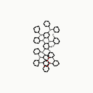 Fc1cccc(F)c1N1c2cc(N(c3ccccc3)c3ccccc3)cc3c2B(c2ccccc2N3c2ccccc2)c2cc3c(c(F)c21)Sc1cc(N(c2ccccc2)c2ccccc2-c2ccccc2)cc2c1B3c1ccccc1N2c1ccccc1-c1ccccc1